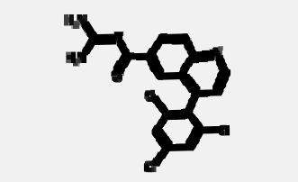 NC(N)=NC(=O)c1ccc2nccc(-c3c(Cl)cc(Cl)cc3Cl)c2c1